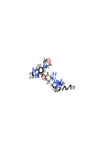 COc1ccc(NC2CCC(Oc3cc(N4CCOCC4)cc4nccnc34)CC2)nn1